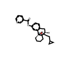 O=C(Oc1ccc2c(c1)[C@@]13CCCCC1(O)[C@@H](C2)N(CC1CC1)CC3)c1cccnc1